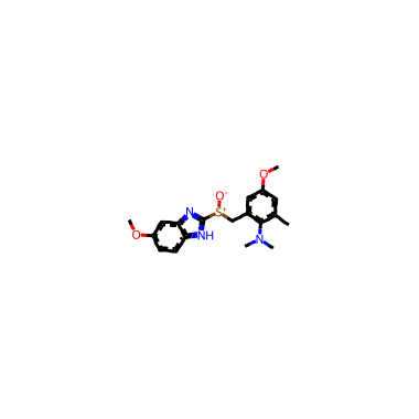 COc1cc(C)c(N(C)C)c(C[S+]([O-])c2nc3cc(OC)ccc3[nH]2)c1